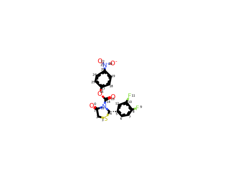 O=C1CS[C@@H](c2ccc(F)c(F)c2)N1C(=O)Oc1ccc([N+](=O)[O-])cc1